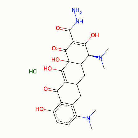 CN(C)c1ccc(O)c2c1CC1CC3[C@H](N(C)C)C(O)=C(C(=O)NN)C(=O)C3(O)C(O)=C1C2=O.Cl